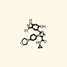 CCc1n[nH]c2cc(O)c(-c3nnc(C(=O)NC4CC4)n3-c3ccc(N4CCOCC4)cc3)cc12